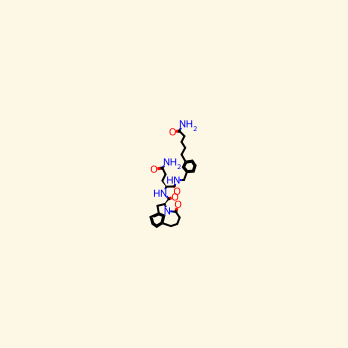 NC(=O)CCCCc1cccc(CNC(=O)[C@H](CCC(N)=O)NC(=O)[C@@H]2Cc3cccc4c3N2C(=O)CCC4)c1